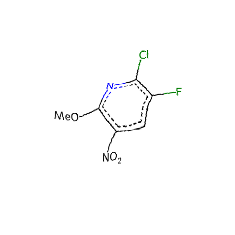 COc1nc(Cl)c(F)cc1[N+](=O)[O-]